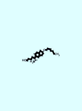 CCCC/C=C\CO[C@H]1CCc2cc([C@H](CN)CCCCO)ccc2C1